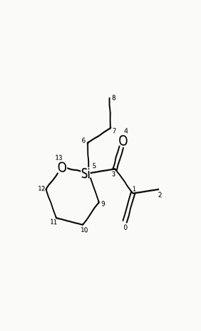 C=C(C)C(=O)[Si]1(CCC)CCCCO1